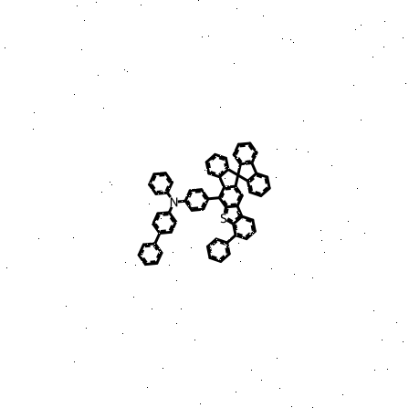 c1ccc(-c2ccc(N(c3ccccc3)c3ccc(-c4c5c(cc6c4sc4c(-c7ccccc7)cccc46)C4(c6ccccc6-c6ccccc64)c4ccccc4-5)cc3)cc2)cc1